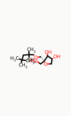 CC(C)(C)CC(C)(C)COC[C@@]1(CO)OC[C@@H](O)C1O